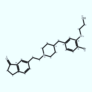 O=C1CCc2ccc(CCN3CCC(Cc4ccc(Br)c(OCCO)c4)CC3)cc21